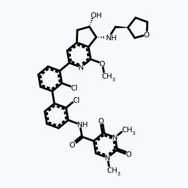 COc1nc(-c2cccc(-c3cccc(NC(=O)c4cn(C)c(=O)n(C)c4=O)c3Cl)c2Cl)cc2c1[C@@H](NC[C@H]1CCOC1)[C@@H](O)C2